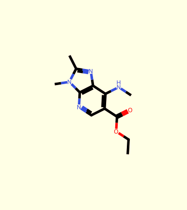 CCOC(=O)c1cnc2c(nc(C)n2C)c1NC